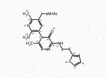 CC(=O)NCc1cc(-n2c(C)cnc(NCCc3cccs3)c2=O)c(N)nc1C